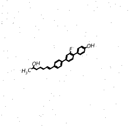 CC(O)CCC/C=C/c1ccc(-c2ccc(-c3ccc(O)cc3)c(F)c2)cc1